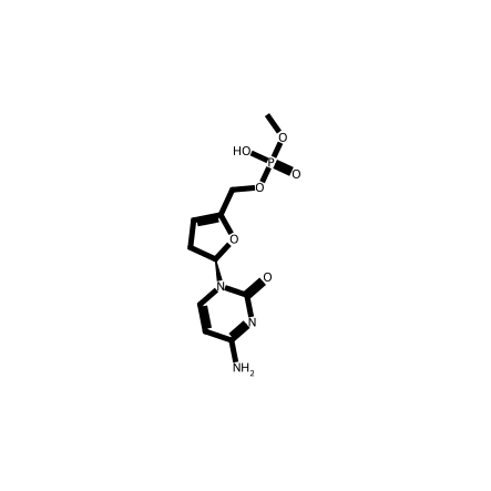 COP(=O)(O)OCC1=CC[C@H](n2ccc(N)nc2=O)O1